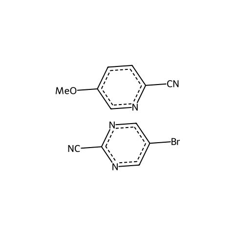 COc1ccc(C#N)nc1.N#Cc1ncc(Br)cn1